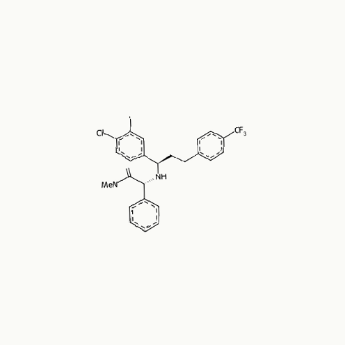 C=C(NC)[C@H](N[C@H](CCc1ccc(C(F)(F)F)cc1)c1ccc(Cl)c(C)c1)c1ccccc1